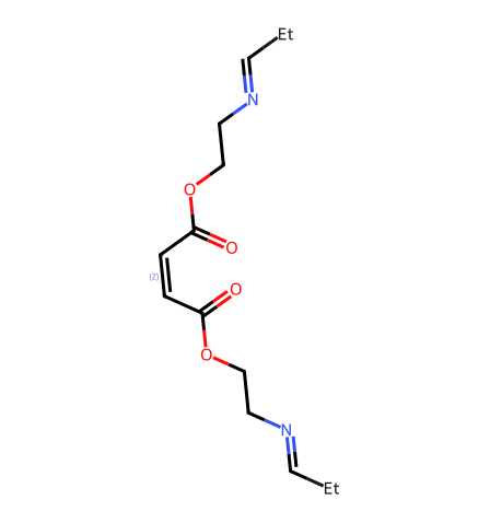 CCC=NCCOC(=O)/C=C\C(=O)OCCN=CCC